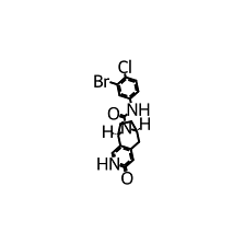 O=C(Nc1ccc(Cl)c(Br)c1)N1[C@H]2CC[C@@H]1c1c[nH]c(=O)cc1C2